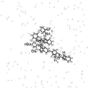 CCCCc1ccc(N)c(C(=S=O)c2nc3ccccc3[nH]2)c1.Cc1ccc(C)c(C[S+]([O-])c2nc3ccccc3[nH]2)c1N.Cc1ccc(C[S+]([O-])c2nc3ccccc3[nH]2)c(N)c1C.Nc1ccccc1C(F)(F)F